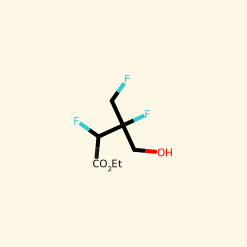 CCOC(=O)C(F)C(F)(CO)CF